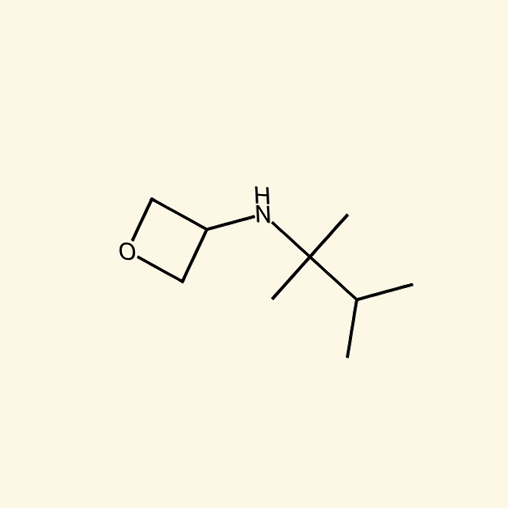 CC(C)C(C)(C)NC1COC1